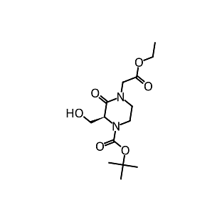 CCOC(=O)CN1CCN(C(=O)OC(C)(C)C)[C@@H](CO)C1=O